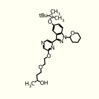 C[C@H](O)CCOCCOc1cncc(-c2nn(C3CCCCO3)c3ccc(O[Si](C)(C)C(C)(C)C)cc23)n1